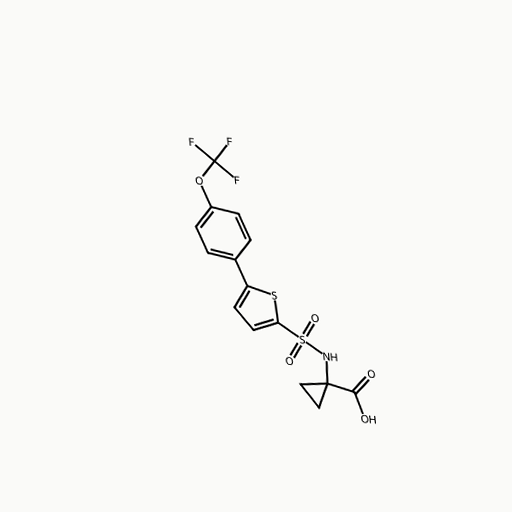 O=C(O)C1(NS(=O)(=O)c2ccc(-c3ccc(OC(F)(F)F)cc3)s2)CC1